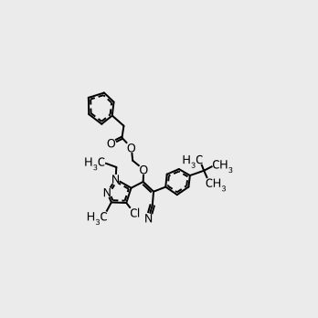 CCn1nc(C)c(Cl)c1/C(OCOC(=O)Cc1ccccc1)=C(\C#N)c1ccc(C(C)(C)C)cc1